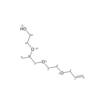 C=CCOCCOCC(C)OCCO